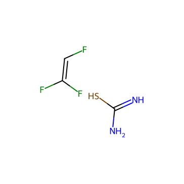 FC=C(F)F.N=C(N)S